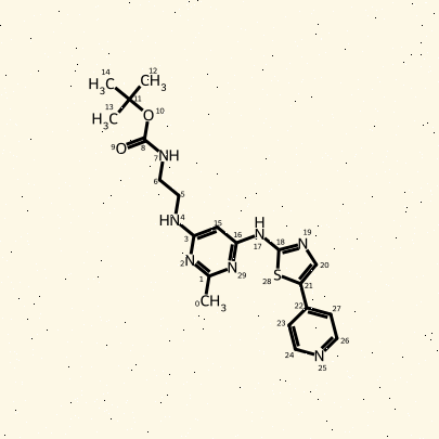 Cc1nc(NCCNC(=O)OC(C)(C)C)cc(Nc2ncc(-c3ccncc3)s2)n1